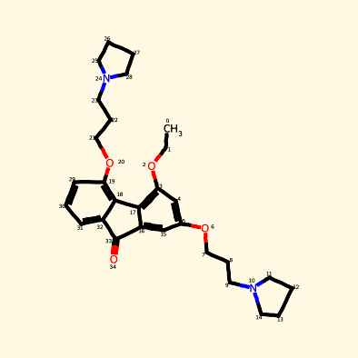 CCOc1cc(OCCCN2CCCC2)cc2c1-c1c(OCCCN3CCCC3)cccc1C2=O